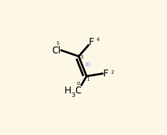 C/C(F)=C(/F)Cl